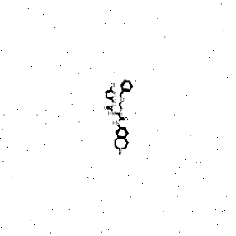 CN1CCc2ccc(NC(=O)[C@@H](CCOCc3ccccc3)NC(=O)Oc3ccc(Cl)s3)cc2CC1